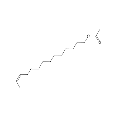 C/C=C\C/C=C/CCCCCCCCOC(C)=O